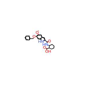 COc1cc2cc(C(=O)NC3CCCCC3C(=O)O)[nH]c2cc1OCc1ccccc1